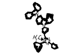 CN1C(c2ccc(-n3c4ccccc4c4cc(-n5c6ccccc6c6ccccc65)ccc43)cc2)=NC(c2ccccc2)=NC1c1ccccc1